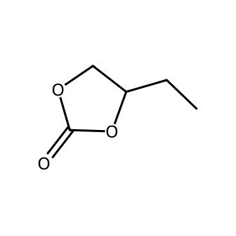 CCC1COC(=O)O1